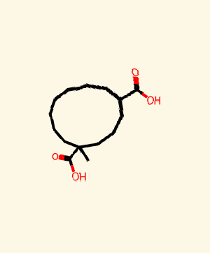 CC1(C(=O)O)CCCCCCCC(C(=O)O)CCC1